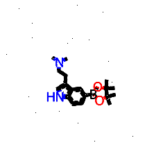 CN(C)CCc1c[nH]c2ccc(B3OC(C)(C)C(C)(C)O3)cc12